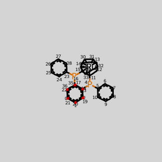 c1ccc(P(c2ccccc2)[C]23[CH]4[CH]5[CH]6[C]2(P(c2ccccc2)c2ccccc2)[Ru]54632789[CH]3[CH]2[CH]7[CH]8[CH]39)cc1